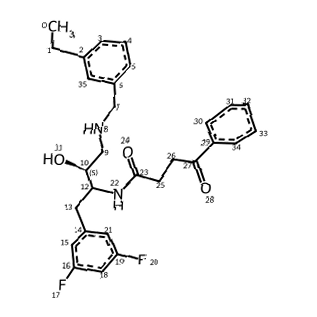 CCc1cccc(CNC[C@H](O)C(Cc2cc(F)cc(F)c2)NC(=O)CCC(=O)c2ccccc2)c1